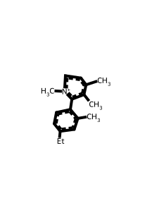 CCc1ccc(-c2c(C)c(C)cc[n+]2C)c(C)c1